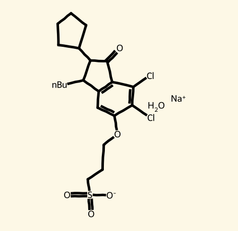 CCCCC1c2cc(OCCCS(=O)(=O)[O-])c(Cl)c(Cl)c2C(=O)C1C1CCCC1.O.[Na+]